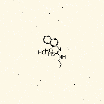 CCCNC(S)=Nc1ccc2ccccc2c1O.Cl